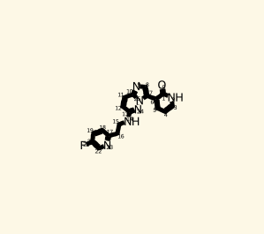 O=c1[nH]cccc1-c1cnc2ccc(NCCc3ccc(F)cn3)nn12